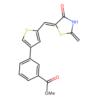 C=c1[nH]c(=O)c(=Cc2cc(-c3cccc(C(=O)OC)c3)cs2)s1